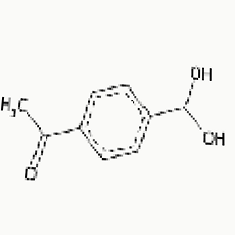 CC(=O)c1ccc(C(O)O)cc1